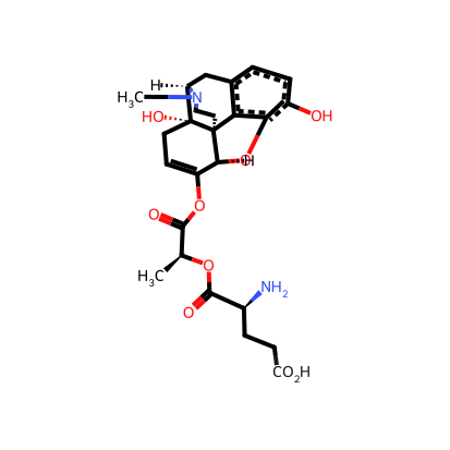 C[C@H](OC(=O)[C@@H](N)CCC(=O)O)C(=O)OC1=CC[C@@]2(O)[C@H]3Cc4ccc(O)c5c4[C@@]2(CCN3C)[C@H]1O5